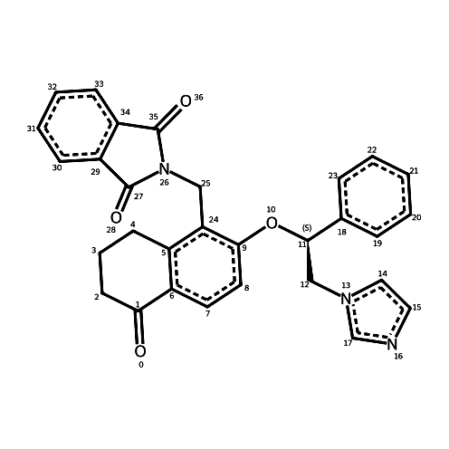 O=C1CCCc2c1ccc(O[C@H](Cn1ccnc1)c1ccccc1)c2CN1C(=O)c2ccccc2C1=O